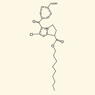 C=Cc1ccc(C(=O)c2c(Cl)cc3n2CCC3C(=O)OCCCCCCCCC)cc1